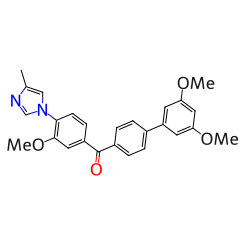 COc1cc(OC)cc(-c2ccc(C(=O)c3ccc(-n4cnc(C)c4)c(OC)c3)cc2)c1